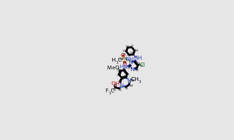 COc1cc2c(cc1Nc1ncc(Cl)c(N[C@@H]3CCCC[C@H]3NS(C)(=O)=O)n1)N(C)CCN(C[C@@H](O)C(F)(F)F)C2